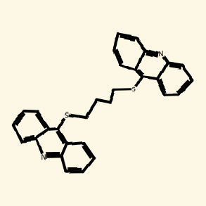 c1ccc2c(SCCCCSc3c4ccccc4nc4ccccc34)c3ccccc3nc2c1